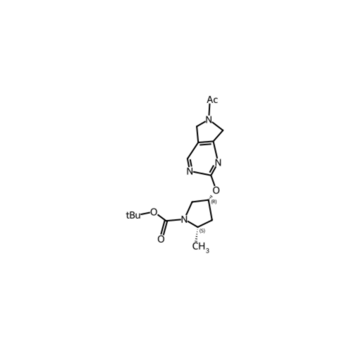 CC(=O)N1Cc2cnc(O[C@@H]3C[C@H](C)N(C(=O)OC(C)(C)C)C3)nc2C1